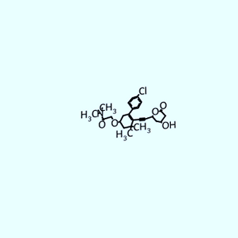 CN(C)C(=O)COC1CC(c2ccc(Cl)cc2)=C(C#CC2CC(O)CC(=O)O2)C(C)(C)C1